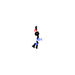 CCCOc1ccc(CCNCCN(CCC)CC2CC2)cc1